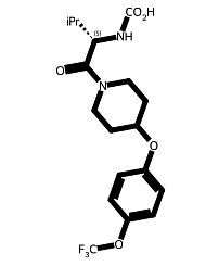 CC(C)[C@H](NC(=O)O)C(=O)N1CCC(Oc2ccc(OC(F)(F)F)cc2)CC1